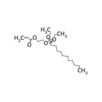 C=CC(=O)OCCO[Si](CCCCCCCCCCC)(OCC)OCC